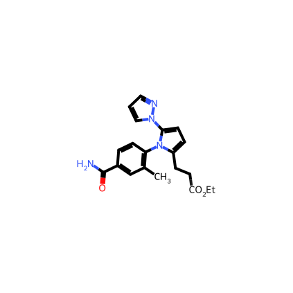 CCOC(=O)CCc1ccc(-n2cccn2)n1-c1ccc(C(N)=O)cc1C